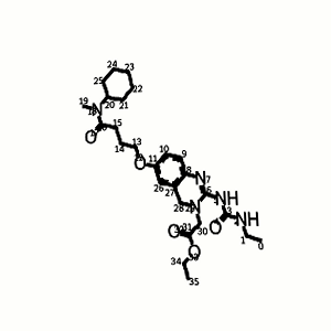 CCNC(=O)NC1=Nc2ccc(OCCCC(=O)N(C)C3CCCCC3)cc2CN1CC(=O)OCC